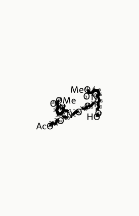 COC(=O)c1cccc(CN(CCOO)CCOCCOCCN(CCOCCCOC(C)=O)Cc2cccc(C(=O)OC)n2)n1